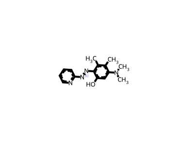 Cc1c(N(C)C)cc(O)c(/N=N/c2ccccn2)c1C